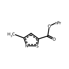 CCCOC(=O)c1cc(C)ns1